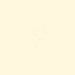 Cc1nonc1Cn1ncc(C(N)=O)c1N